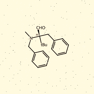 CN(Cc1ccccc1)[C@]([C]=O)(Cc1ccccc1)C(C)(C)C